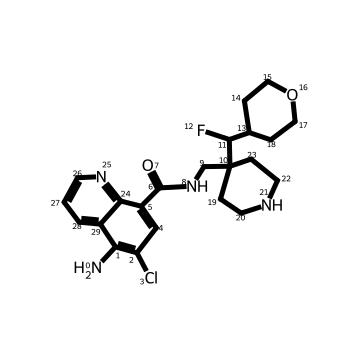 Nc1c(Cl)cc(C(=O)NCC2(C(F)C3CCOCC3)CCNCC2)c2ncccc12